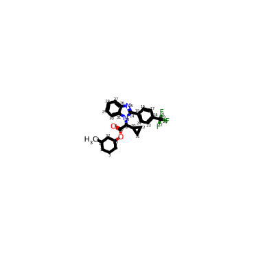 CC1CCCC(OC(=O)C(C2CC2)n2c(-c3ccc(C(F)(F)F)cc3)nc3ccccc32)C1